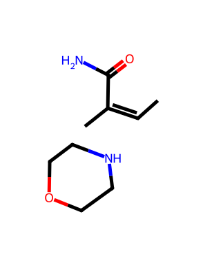 C1COCCN1.CC=C(C)C(N)=O